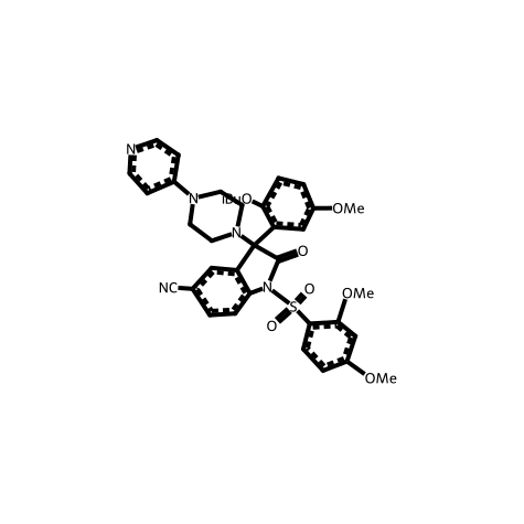 COc1ccc(S(=O)(=O)N2C(=O)C(c3cc(OC)ccc3OCC(C)C)(N3CCN(c4ccncc4)CC3)c3cc(C#N)ccc32)c(OC)c1